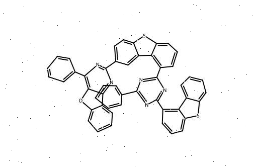 c1ccc(-c2nc(-c3cccc4sc5ccccc5c34)nc(-c3cccc4sc5ccc(-c6nc(-c7ccccc7)c7oc8ccccc8c7n6)cc5c34)n2)cc1